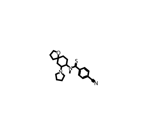 CN(C(=S)c1ccc(C#N)cc1)C1CCC2(CCCO2)CC1N1CCCC1